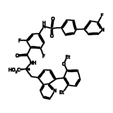 CCOc1cccc(CC)c1-c1ccc(C[C@H](NC(=O)c2c(F)cc(NS(=O)(=O)c3ccc(-c4ccnc(F)c4)cc3)cc2F)C(=O)O)c2cccnc12